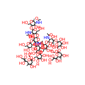 CC(=O)NC1C(O)[C@H](O[C@@H]2OC(CO[C@]3(OC=O)C[C@@H](O)[C@@H](C)C([C@H](O)[C@H](O)CO)O3)[C@H](O)[C@H](O)C2O)[C@H](CO)O[C@H]1OC1[C@@H](OCC2O[C@@H](O[C@@H]3C(CO)O[C@@H](O[C@@H]4C(CO)O[C@@H](C)C(NC(C)=O)[C@H]4O)C(NC(C)=O)[C@H]3O)C(O)[C@@H](O[C@H]3OC(CO)[C@@H](O)C(O)C3O[C@@H]3OC(CO)[C@@H](O[C@@H]4OC(CO[C@]5(OC=O)C[C@@H](O)[C@@H](C)C([C@H](O)[C@H](O)CO)O5)[C@H](O)[C@H](O)C4O)[C@H](O)C3NC(C)=O)[C@@H]2O)OC(CO)[C@@H](O)[C@@H]1O